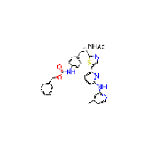 CC(=O)N[C@@H](Cc1ccc(NC(=O)OCc2ccccc2)cc1)c1ncc(-c2cccc(Nc3cc(C)ccn3)n2)s1